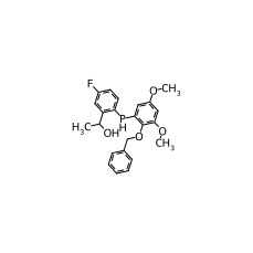 COc1cc(OC)c(OCc2ccccc2)c(Pc2ccc(F)cc2C(C)O)c1